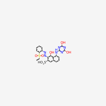 C=CS(=O)(=O)c1ccccc1N=Nc1c(S(=O)(=O)O)cc2cccc(Nc3nc(O)nc(O)n3)c2c1O